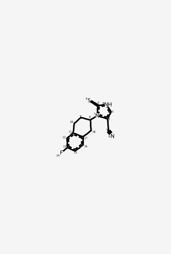 N#Cc1c[nH]c(=S)n1C1CCc2cc(F)ccc2C1